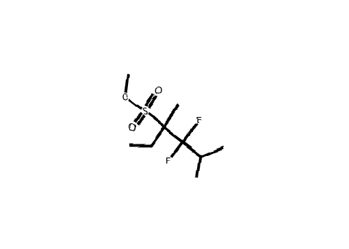 CCC(C)(C(F)(F)C(C)C)S(=O)(=O)OC